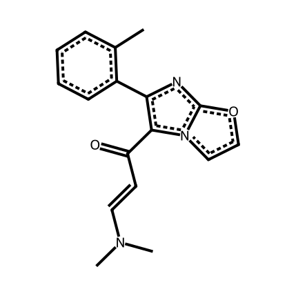 Cc1ccccc1-c1nc2occn2c1C(=O)C=CN(C)C